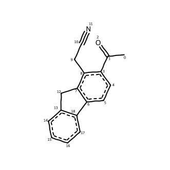 CC(=O)c1ccc2c(c1CC#N)Cc1ccccc1-2